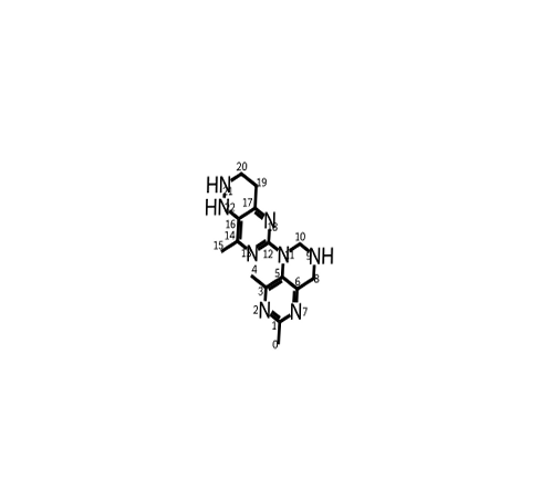 Cc1nc(C)c2c(n1)CNCN2c1nc(C)c2c(n1)CCNN2